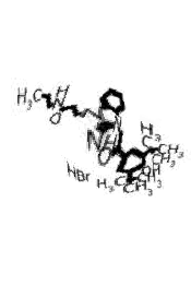 Br.CCCNC(=O)CCn1c(=N)n(CC(=O)c2cc(C(C)(C)C)c(O)c(C(C)(C)C)c2)c2ccccc21